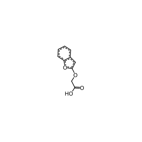 O=C(O)COc1cc2ccccc2o1